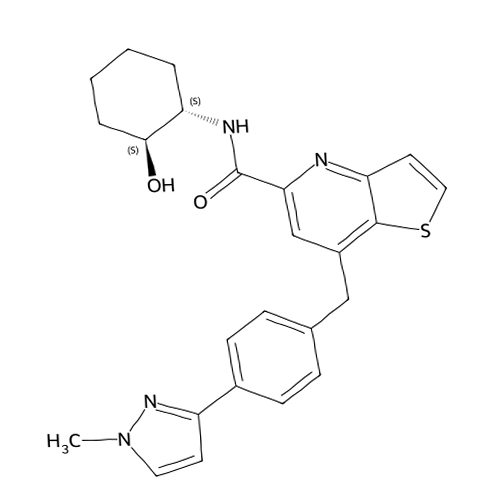 Cn1ccc(-c2ccc(Cc3cc(C(=O)N[C@H]4CCCC[C@@H]4O)nc4ccsc34)cc2)n1